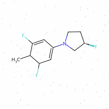 CC1C(F)=CC(N2CC[C@@H](F)C2)=CC1F